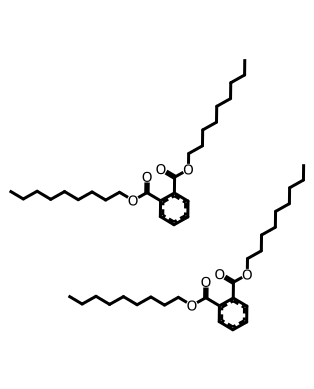 CCCCCCCCCOC(=O)c1ccccc1C(=O)OCCCCCCCCC.CCCCCCCCCOC(=O)c1ccccc1C(=O)OCCCCCCCCC